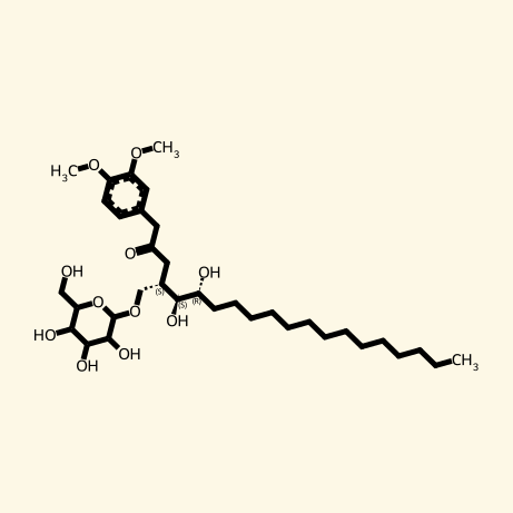 CCCCCCCCCCCCCC[C@@H](O)[C@@H](O)[C@H](COC1OC(CO)C(O)C(O)C1O)CC(=O)Cc1ccc(OC)c(OC)c1